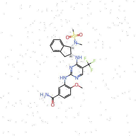 COc1ccc(C(N)=O)cc1Nc1ncc(C(F)(F)F)c(N[C@@H]2Cc3ccccc3[C@@H]2N(C)S(C)(=O)=O)n1